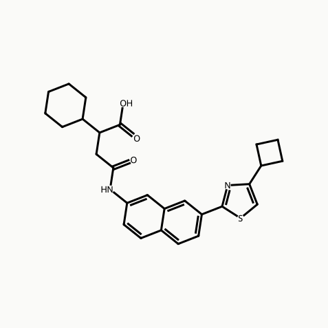 O=C(CC(C(=O)O)C1CCCCC1)Nc1ccc2ccc(-c3nc(C4CCC4)cs3)cc2c1